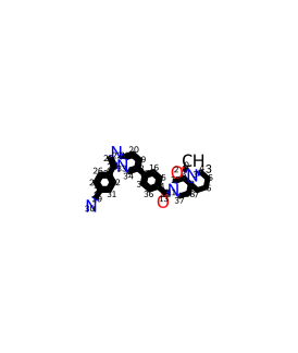 CC(=O)N1CCCCC12CCN(C(=O)c1ccc(-c3ccc4ncc(-c5ccc(C#N)cc5)n4c3)cc1)CC2